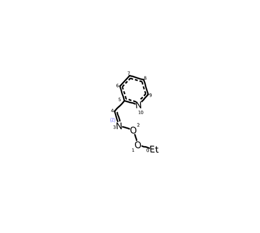 CCOO/N=C\c1ccccn1